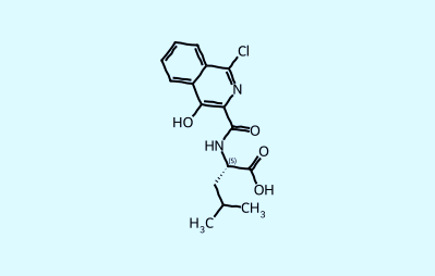 CC(C)C[C@H](NC(=O)c1nc(Cl)c2ccccc2c1O)C(=O)O